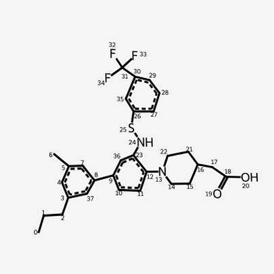 CCCc1cc(C)cc(-c2ccc(N3CCC(CC(=O)O)CC3)c(NSc3cccc(C(F)(F)F)c3)c2)c1